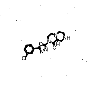 O=C1[C@H]2CNCCN2CCN1c1nnc(-c2cccc(Cl)c2)o1